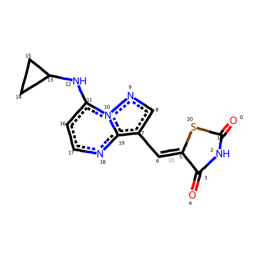 O=C1NC(=O)/C(=C/c2cnn3c(NC4CC4)ccnc23)S1